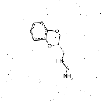 NSNC[C@H]1COc2ccccc2O1